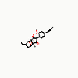 CC#Cc1ccc(C2C(=O)[C@@H]3C4OC(CC4CC)[C@@H]3C2=O)c(OC)c1